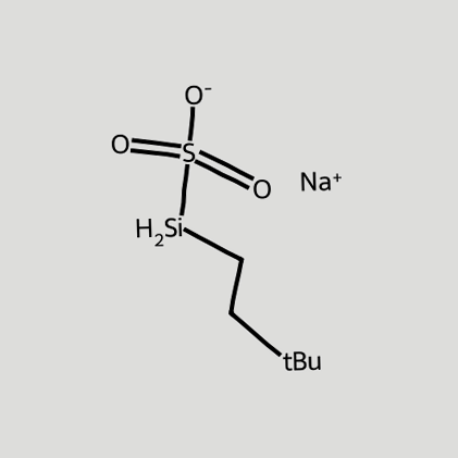 CC(C)(C)CC[SiH2]S(=O)(=O)[O-].[Na+]